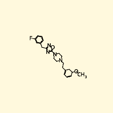 COC1C=CC=C(CCN2CCN(c3nc(Cc4cccc(F)c4)no3)CC2)C1